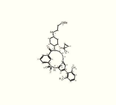 COCCN[C@H]1CC[C@@H](N2C(=O)c3cccc(c3)S(=O)(=O)Nc3nc(cc(-c4c(C)cccc4C)n3)OC[C@H]2CC2(C(F)(F)F)CC2)CC1